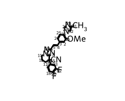 COc1cc(C=Cc2nc3n(n2)CCCC3(C#N)c2ccc(F)c(F)c2)ccc1-n1cnc(C)c1